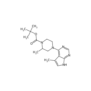 Cc1c[nH]c2ncnc(N3CCN(C(=O)OC(C)(C)C)C(C)C3)c12